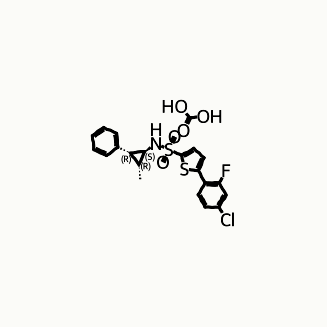 C[C@H]1[C@H](NS(=O)(=O)c2ccc(-c3ccc(Cl)cc3F)s2)[C@H]1c1ccccc1.O=C(O)O